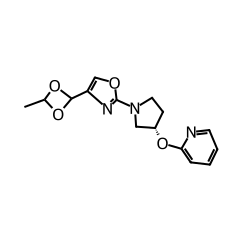 CC1OC(c2coc(N3CC[C@H](Oc4ccccn4)C3)n2)O1